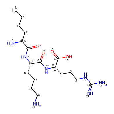 CCCC[C@H](N)C(=O)N[C@@H](CCCCN)C(=O)N[C@@H](CCCNC(=N)N)C(=O)O